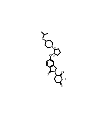 CC(C)OC1CCN([C@@H]2CCC[C@H]2Oc2ccc3c(c2)CN(C2CCC(=O)NC2=O)C3=O)CC1